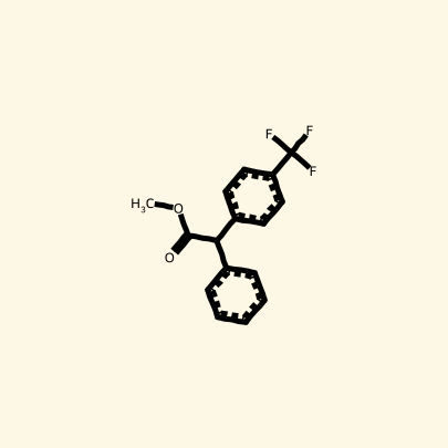 COC(=O)C(c1ccccc1)c1ccc(C(F)(F)F)cc1